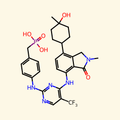 CN1Cc2c(C3CCC(C)(O)CC3)ccc(Nc3nc(Nc4ccc(CP(=O)(O)O)cc4)ncc3C(F)(F)F)c2C1=O